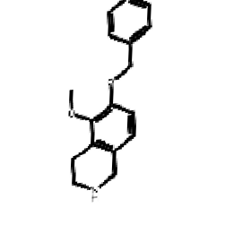 COc1c(OCc2ccccc2)ccc2c1CCNC2